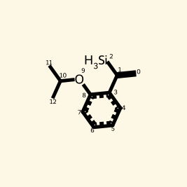 C=C([SiH3])c1ccccc1OC(C)C